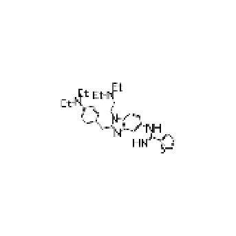 CCN(CC)CCn1c(Cc2ccc(N(CC)CC)cc2)nc2cc(NC(=N)c3cccs3)ccc21